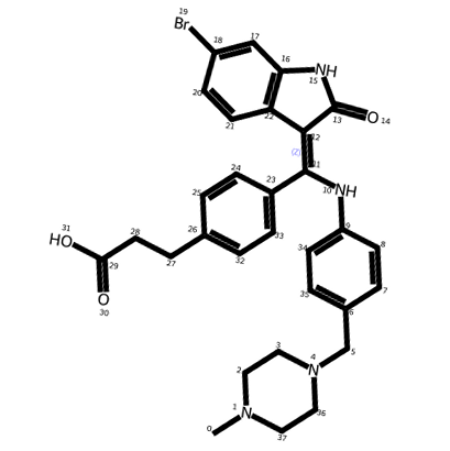 CN1CCN(Cc2ccc(N/C(=C3\C(=O)Nc4cc(Br)ccc43)c3ccc(CCC(=O)O)cc3)cc2)CC1